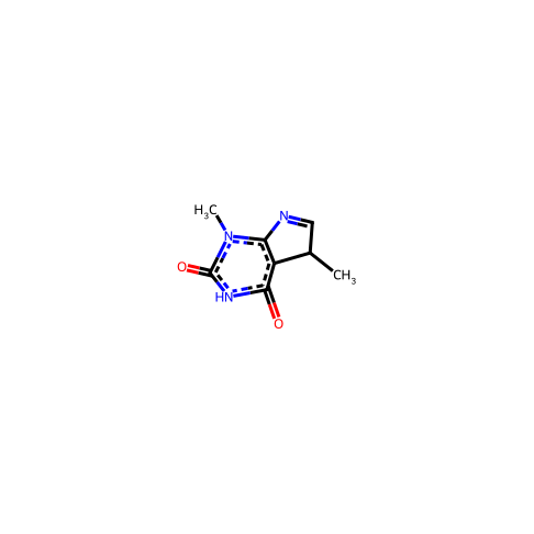 CC1C=Nc2c1c(=O)[nH]c(=O)n2C